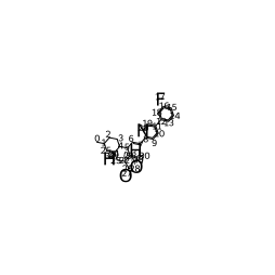 CC1CCC2C(C=Cc3ccc(-c4cccc(F)c4)cn3)[C@H]3C(C[C@@H]2C1)C(=O)O[C@@H]3C